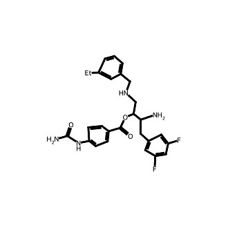 CCc1cccc(CNCC(OC(=O)c2ccc(NC(N)=O)cc2)C(N)Cc2cc(F)cc(F)c2)c1